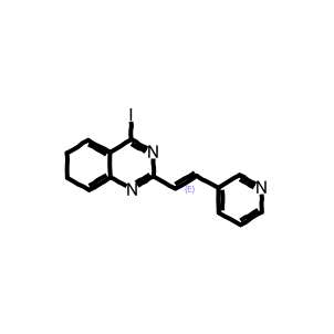 Ic1nc(/C=C/c2cccnc2)nc2c1=CCCC=2